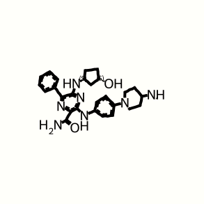 CNC1CCN(c2ccc(Nc3nc(N[C@H]4CC[C@H](O)C4)c(-c4ccccc4)nc3C(N)=O)cc2)CC1